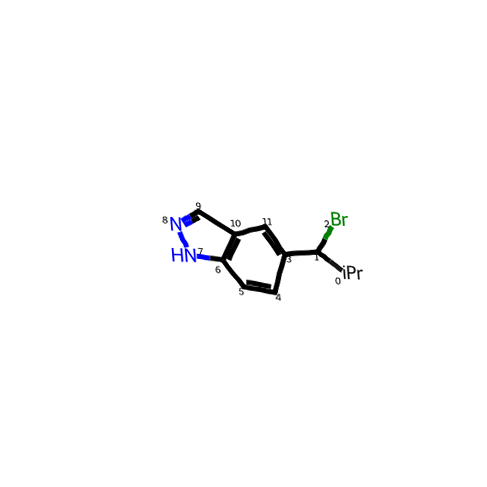 CC(C)C(Br)c1ccc2[nH]ncc2c1